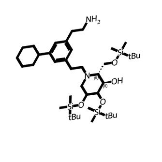 CC(C)(C)[Si](C)(C)OC[C@@H]1[C@@H](O)C(O[Si](C)(C)C(C)(C)C)C(O[Si](C)(C)C(C)(C)C)CN1CCc1cc(CCN)cc(C2CCCCC2)c1